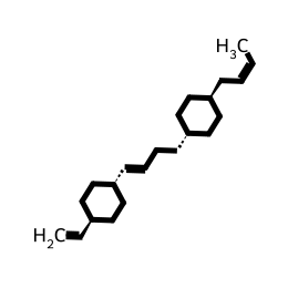 C=C[C@H]1CC[C@H](/C=C/CC[C@H]2CC[C@H](C/C=C\C)CC2)CC1